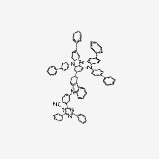 N#Cc1ccc(-n2c3ccccc3c3cc(-c4cc5c6c(c4)N(c4ccc(-c7ccccc7)cc4)c4ccc(-c7ccccc7)cc4B6c4cc(-c6ccccc6)ccc4N5c4ccc(-c5ccccc5)cc4)ccc32)cc1-c1nc(-c2ccccc2)nc(-c2ccccc2)n1